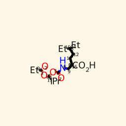 CCC(=O)O[C@@H](OC(=O)NC[C@H](CCC(CC)CC)C(=O)O)C(C)C